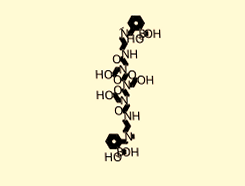 CN(CCCNC(=O)CN(CCN(CCN(CC(=O)O)CC(=O)NCCCN(C)Cc1ccccc1B(O)O)CC(=O)O)CC(=O)O)Cc1ccccc1B(O)O